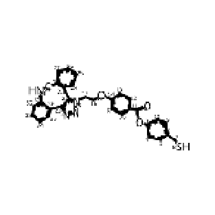 O=C(Oc1ccc(CS)cc1)c1ccc(OCCn2nnc3c2-c2ccccc2CNc2ccccc2-3)cc1